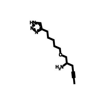 CC#CCC(N)COCCCCCc1c[nH]nn1